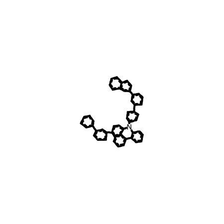 c1ccc(-c2cccc(-c3ccc(N(c4ccc(-c5cccc(-c6ccc7ccccc7c6)c5)cc4)c4ccccc4-c4ccccc4)cc3)c2)cc1